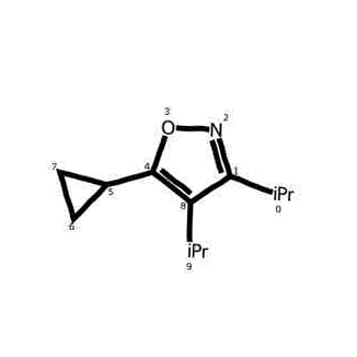 CC(C)c1noc(C2CC2)c1C(C)C